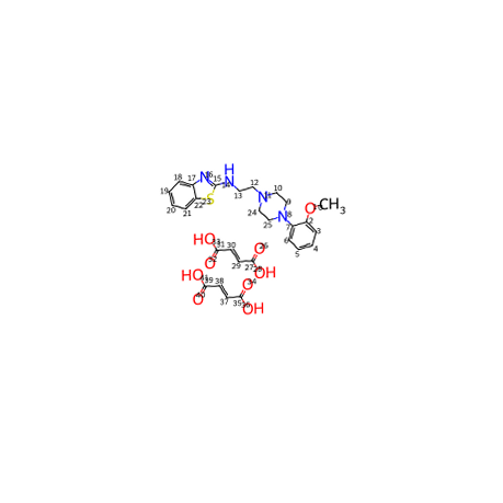 COc1ccccc1N1CCN(CCNc2nc3ccccc3s2)CC1.O=C(O)/C=C/C(=O)O.O=C(O)/C=C/C(=O)O